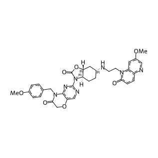 COc1ccc(CN2C(=O)COc3cnc(N4C(=O)O[C@@H]5C[C@H](NCCn6c(=O)ccc7ncc(OC)cc76)CC[C@H]54)nc32)cc1